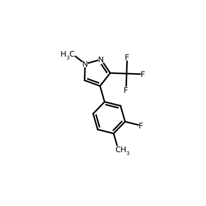 Cc1ccc(-c2cn(C)nc2C(F)(F)F)cc1F